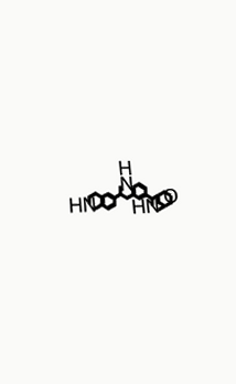 c1cc2c(cc1C1CNc3ccc(C4NCC5COCC4C5)cc3C1)CCNC2